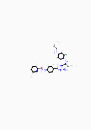 CCN(CCC#N)c1ccc(/N=C2/C(C(C)(C)C)=Nn3nc(-c4ccc(NC(=O)c5cc(S(=O)(=O)O)cc(S(=O)(=O)O)c5)cc4)nc32)c(Cl)c1